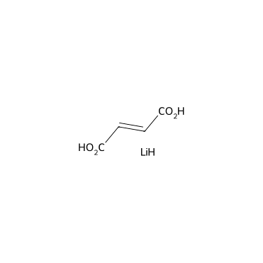 O=C(O)/C=C/C(=O)O.[LiH]